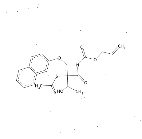 C=CCOC(=O)N1C(=O)C(SC(C)=S)(C(C)O)C1Oc1ccc2ccccc2c1